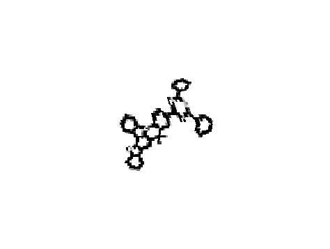 CC1(C)c2cc(-c3nc(-c4ccccc4)nc(-c4ccccc4)n3)ccc2-n2c3ccccc3c3c4oc5ccccc5c4cc1c32